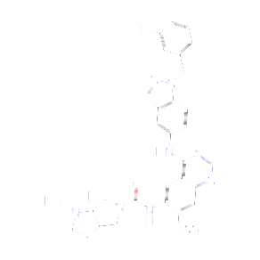 COc1cc2ncnc(Nc3ccc4c(cnn4Cc4cccc(F)c4)c3)c2cc1NC(=O)N1CC2CCN(C)[C@H]2C1